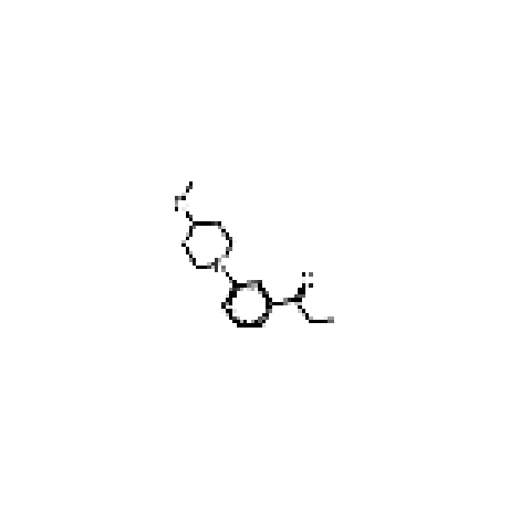 CCC(=O)c1cccc(N2CCC(OC)CC2)c1